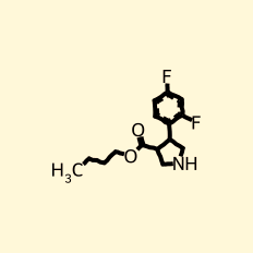 CCCCOC(=O)C1CNCC1c1ccc(F)cc1F